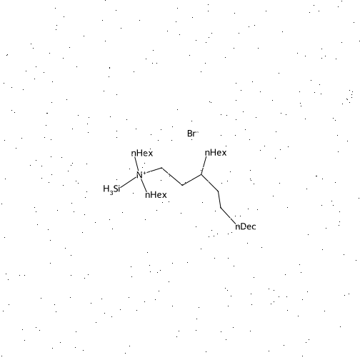 CCCCCCCCCCCCC(CCCCCC)CC[N+]([SiH3])(CCCCCC)CCCCCC.[Br-]